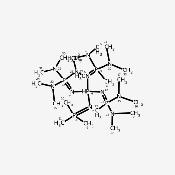 CN(C)P(C)(=N[PH](N=P(C)(C)C)(N=P(C)(N(C)C)N(C)C)N=P(N(C)C)(N(C)C)N(C)C)N(C)C